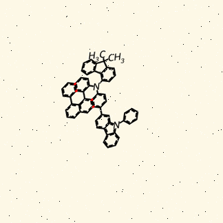 CC1(C)c2ccccc2-c2c(N(c3ccc(-c4ccc5c6ccccc6n(-c6ccccc6)c5c4)cc3)c3ccccc3-c3cccc4cccc(-c5ccccc5)c34)cccc21